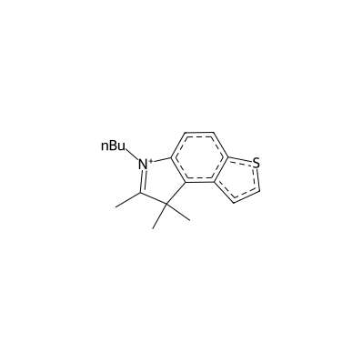 CCCC[N+]1=C(C)C(C)(C)c2c1ccc1sccc21